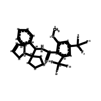 COc1cc(C(F)(F)F)cc(C(F)(F)F)c1C(=O)NC(c1ccccc1)C1(N2CC=CC2)CCCC1